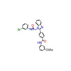 COc1cccc(NC(=O)c2ccc(-c3nc4ccccc4n3CC(=O)Nc3cccc(Br)c3)cc2)c1